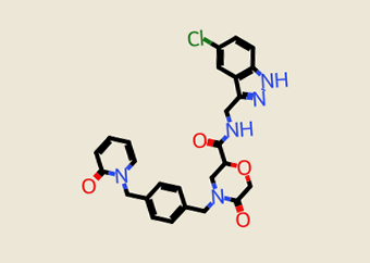 O=C(NCc1n[nH]c2ccc(Cl)cc12)C1CN(Cc2ccc(Cn3ccccc3=O)cc2)C(=O)CO1